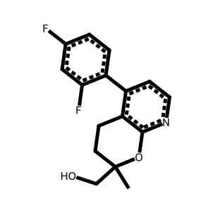 CC1(CO)CCc2c(-c3ccc(F)cc3F)ccnc2O1